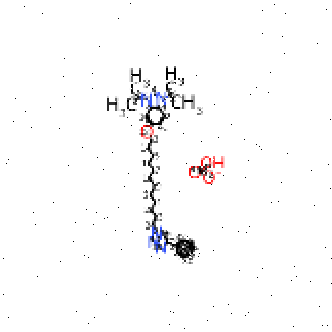 CC(C)n1c[n+](C(C)C)c2cc(OCCCCCCCCCCCCn3cc([C]45[CH]6[CH]7[CH]8[CH]4[Fe]786549%10%11[CH]5[CH]4[CH]9[CH]%10[CH]5%11)nn3)ccc21.O=C([O-])O